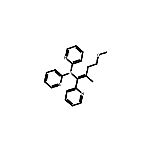 COCC/C(C)=C(\B(c1ccccn1)c1ccccn1)c1ccccn1